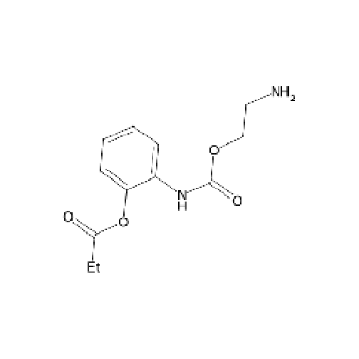 CCC(=O)Oc1ccccc1NC(=O)OCCN